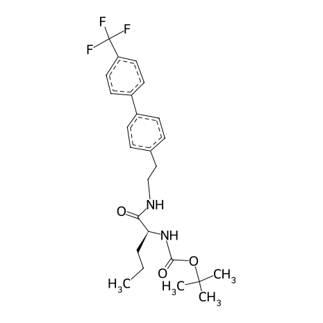 CCC[C@H](NC(=O)OC(C)(C)C)C(=O)NCCc1ccc(-c2ccc(C(F)(F)F)cc2)cc1